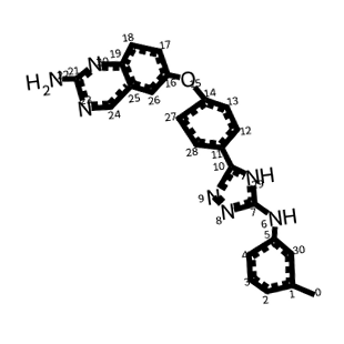 Cc1cccc(Nc2nnc(-c3ccc(Oc4ccc5nc(N)ncc5c4)cc3)[nH]2)c1